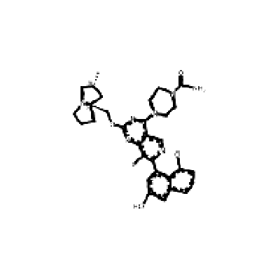 NC(=O)N1CCN(c2nc(OC[C@@]34CCCN3C[C@H](F)C4)nc3c(F)c(-c4cc(O)cc5cccc(Cl)c45)ncc23)CC1